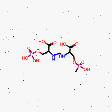 CP(=O)(O)OCC(NCNC(COP(=O)(O)O)C(=O)O)C(=O)O